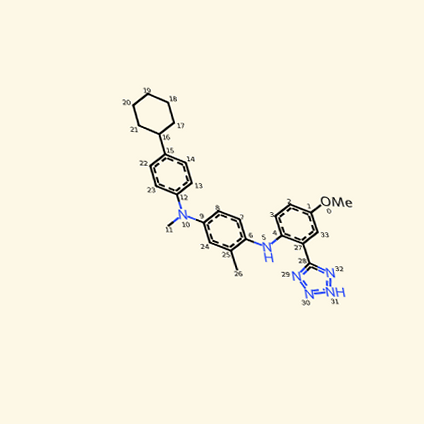 COc1ccc(Nc2ccc(N(C)c3ccc(C4CCCCC4)cc3)cc2C)c(-c2nn[nH]n2)c1